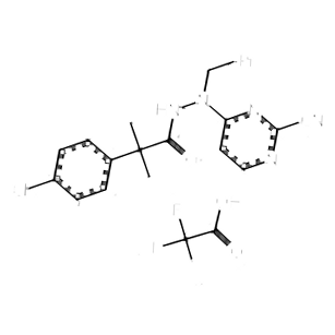 CC(C)CN(NC(=O)C(C)(C)c1ccc(Cl)cc1)c1ccnc(C#N)n1.O=C(O)C(F)(F)F